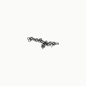 Cc1nc(C(=O)N2Cc3cc4c(cc3C[C@H]2C(=O)N[C@@H](Cc2ccc(-c3ccc(C#N)cc3)cc2)C(=O)O)OCC(c2ccc(OCc3ccc(Cl)c(Cl)c3)cc2)O4)c(C)o1